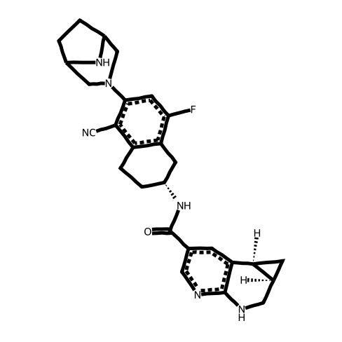 N#Cc1c(N2CC3CCC(C2)N3)cc(F)c2c1CC[C@@H](NC(=O)c1cnc3c(c1)[C@H]1C[C@H]1CN3)C2